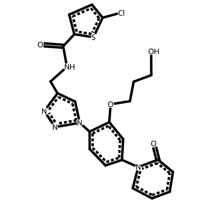 O=C(NCc1cn(-c2ccc(-n3ccccc3=O)cc2OCCCO)nn1)c1ccc(Cl)s1